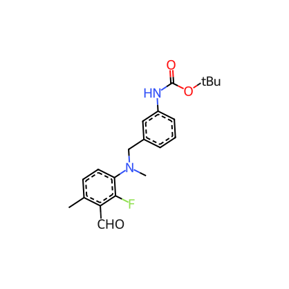 Cc1ccc(N(C)Cc2cccc(NC(=O)OC(C)(C)C)c2)c(F)c1C=O